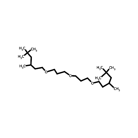 CC(CCOCCCOCCCOCCC(C)CC(C)(C)C)CC(C)(C)C